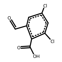 O=Cc1cc(Cl)cc(Cl)c1C(=O)O